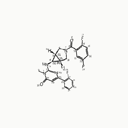 Cn1c(N[C@H]2[C@@H]3CN(C(=O)c4cc(F)ccc4F)C[C@@H]32)nc(-c2ccncc2F)cc1=O